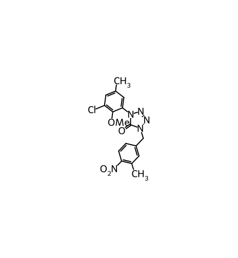 COc1c(Cl)cc(C)cc1-n1nnn(Cc2ccc([N+](=O)[O-])c(C)c2)c1=O